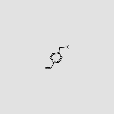 C=Cc1ccc(C[Si])cc1